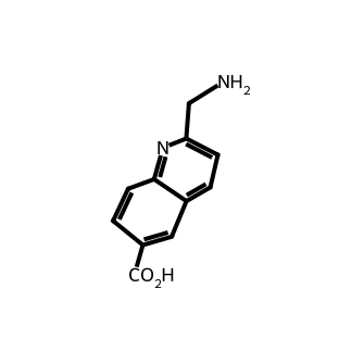 NCc1ccc2cc(C(=O)O)ccc2n1